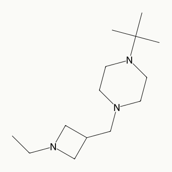 CCN1CC(CN2CCN(C(C)(C)C)CC2)C1